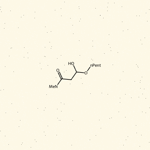 CCCCCOC(O)CC(=O)NC